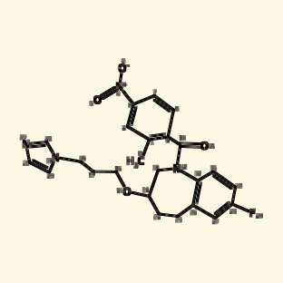 Cc1cc([N+](=O)[O-])ccc1C(=O)N1CC(OCCCn2ccnc2)CCc2cc(F)ccc21